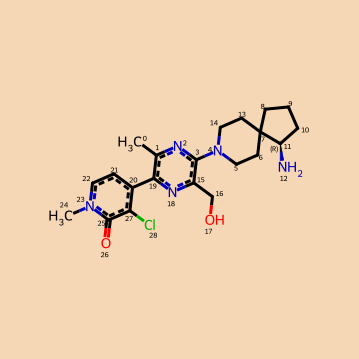 Cc1nc(N2CCC3(CCC[C@H]3N)CC2)c(CO)nc1-c1ccn(C)c(=O)c1Cl